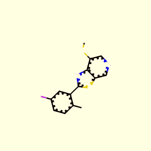 CSc1cncc2sc(-c3cc(I)ccc3C)nc12